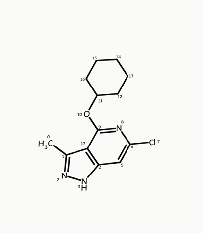 Cc1n[nH]c2cc(Cl)nc(OC3CCCCC3)c12